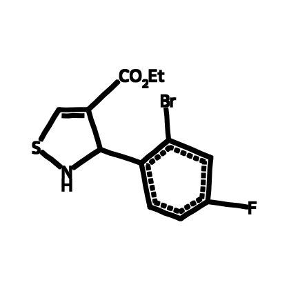 CCOC(=O)C1=CSNC1c1ccc(F)cc1Br